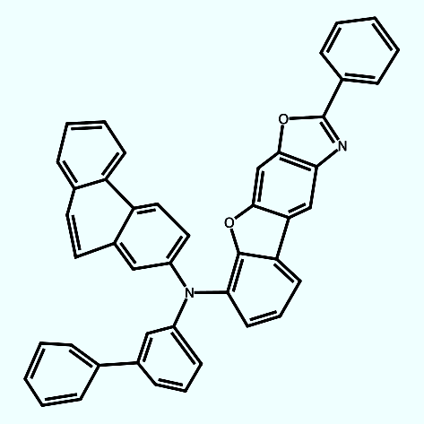 c1ccc(-c2cccc(N(c3ccc4c(ccc5ccccc54)c3)c3cccc4c3oc3cc5oc(-c6ccccc6)nc5cc34)c2)cc1